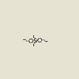 C=CCc1ccc([Si](CC=C)(CC=C)c2ccc(CC=C)cc2)cc1